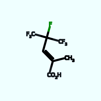 CC(=CC(F)(C(F)(F)F)C(F)(F)F)C(=O)O